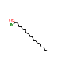 CCCCCCCCCCCCCCCCCC(O)Br